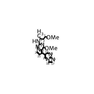 COCC[C@@H](C)Nc1nc(OC)c2c(-c3cnc4nccn4c3)ccn2n1